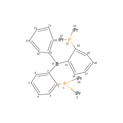 CC(C)P(c1ccccc1B(c1ccccc1)c1ccccc1P(C(C)C)C(C)C)C(C)C